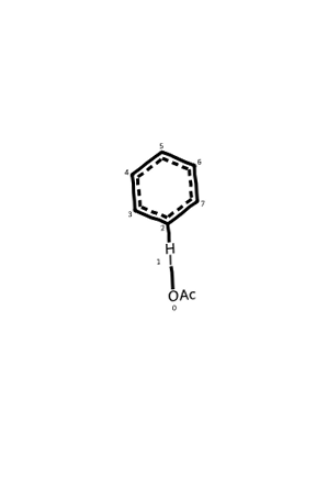 CC(=O)O[IH]c1ccccc1